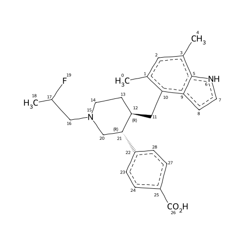 Cc1cc(C)c2[nH]ccc2c1C[C@@H]1CCN(CC(C)F)C[C@H]1c1ccc(C(=O)O)cc1